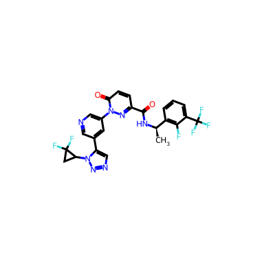 C[C@@H](NC(=O)c1ccc(=O)n(-c2cncc(-c3cnnn3C3CC3(F)F)c2)n1)c1cccc(C(F)(F)F)c1F